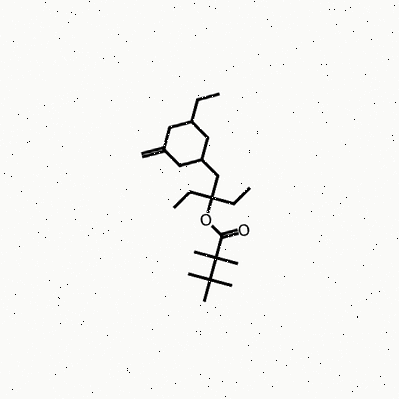 C=C1CC(CC)CC(CC(CC)(CC)OC(=O)C(C)(C)C(C)(C)C)C1